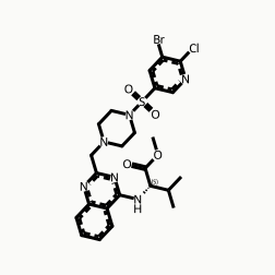 COC(=O)[C@@H](Nc1nc(CN2CCN(S(=O)(=O)c3cnc(Cl)c(Br)c3)CC2)nc2ccccc12)C(C)C